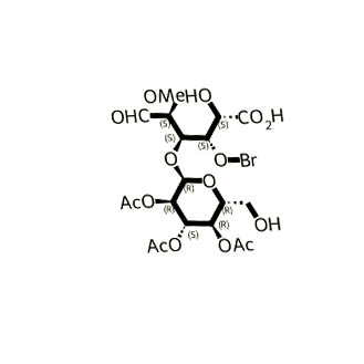 CO[C@H](C=O)[C@H](O[C@H]1O[C@H](CO)[C@@H](OC(C)=O)[C@H](OC(C)=O)[C@H]1OC(C)=O)[C@@H](OBr)[C@H](O)C(=O)O